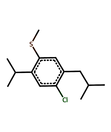 CSc1cc(CC(C)C)c(Cl)cc1C(C)C